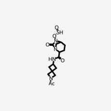 CC(=O)N1CC2(CC(NC(=O)C3CCC4CN3C(=O)N4O[SH]=O)C2)C1